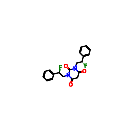 O=C1CC(=O)N(C[C@H](F)c2ccccc2)C(=O)N1C[C@@H](F)c1ccccc1